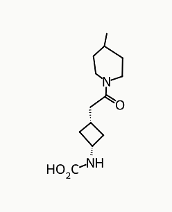 CC1CCN(C(=O)C[C@H]2C[C@@H](NC(=O)O)C2)CC1